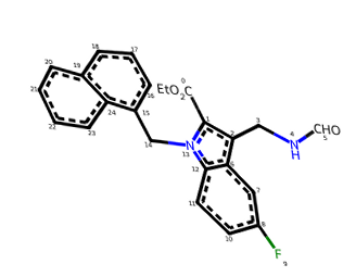 CCOC(=O)c1c(CNC=O)c2cc(F)ccc2n1Cc1cccc2ccccc12